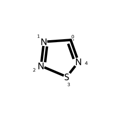 [c]1nnsn1